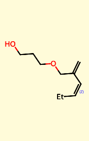 C=C(/C=C\CC)COCCCO